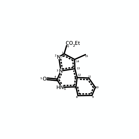 CCOC(=O)c1nn2c(=O)[nH]c3ccccc3c2c1C